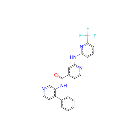 O=C(Nc1cnccc1-c1ccccc1)c1ccnc(Nc2cccc(C(F)(F)F)n2)c1